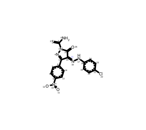 NC(=S)N1N=C(c2ccc([N+](=O)[O-])cc2)/C(=N/Nc2ccc(Cl)cc2)C1=O